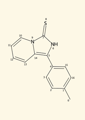 Cc1ccc(-c2[nH]c(=S)n3ccccc23)cc1